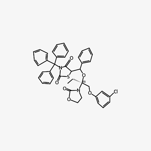 CC[C@@](COc1cccc(Cl)c1)(OC(c1ccccc1)C1SC(=O)N(C(c2ccccc2)(c2ccccc2)c2ccccc2)C1=O)N1CCOC1=O